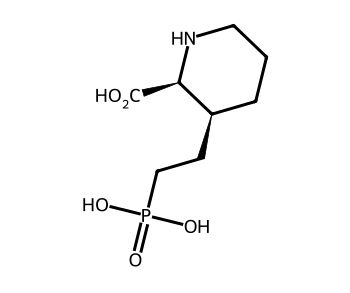 O=C(O)[C@H]1NCCC[C@H]1CCP(=O)(O)O